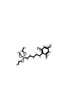 CCO[Si](CCCCCc1c(F)cc(F)cc1F)(OC)OCC